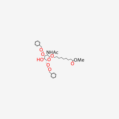 COC(=O)CCCCCCCCO[C@@H]1O[C@H](COCOCc2ccccc2)[C@@H](O)[C@H](OCOCc2ccccc2)[C@H]1NC(C)=O